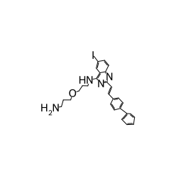 NCCCOCCCNc1nc(C=Cc2ccc(-c3ccccc3)cc2)nc2ccc(I)cc12